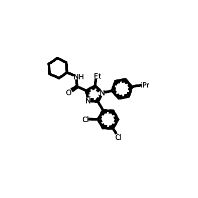 CCc1c(C(=O)NC2CCCCC2)nc(-c2ccc(Cl)cc2Cl)n1-c1ccc(C(C)C)cc1